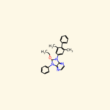 CCOC1N(c2ccccc2)c2nccnc2N1c1cc(C)c(-c2ccccc2)c(C)c1